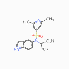 Cc1cc(S(=O)(=O)N(c2ccc3[nH]ccc3c2)C(C(=O)O)C(C)(C)C)cc(C)n1